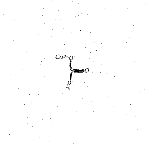 O=S([O-])[O-].[Cu+2].[Fe]